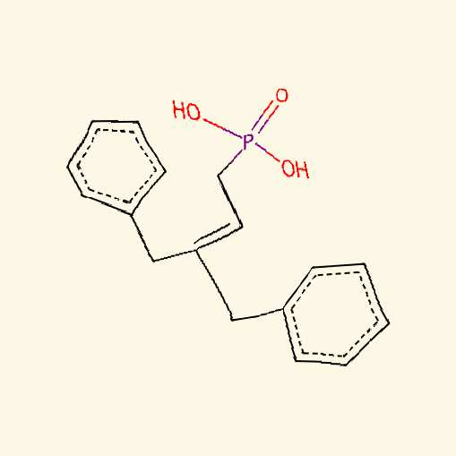 O=P(O)(O)CC=C(Cc1ccccc1)Cc1ccccc1